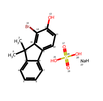 CC1(C)c2ccccc2-c2ccc(O)c(Br)c21.O=S(=O)(O)O.[NaH]